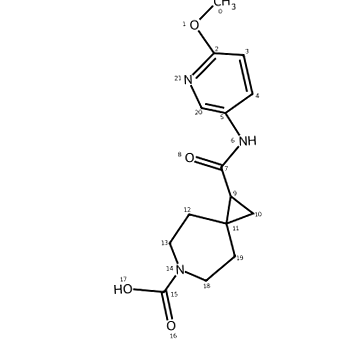 COc1ccc(NC(=O)C2CC23CCN(C(=O)O)CC3)cn1